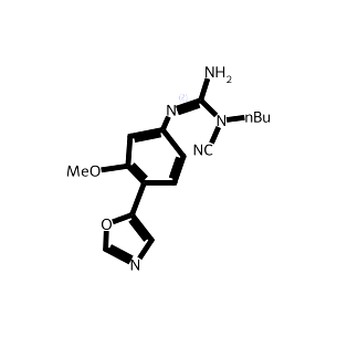 CCCCN(C#N)/C(N)=N\c1ccc(-c2cnco2)c(OC)c1